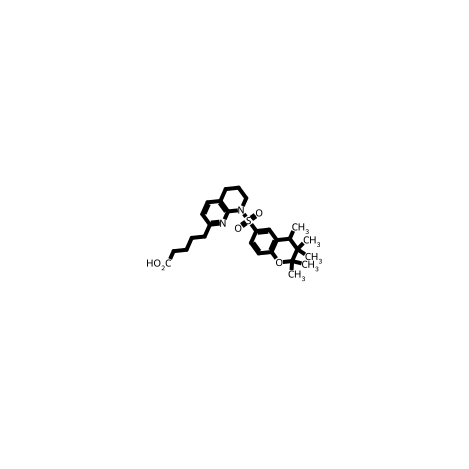 CC1c2cc(S(=O)(=O)N3CCCc4ccc(CCCCC(=O)O)nc43)ccc2OC(C)(C)C1(C)C